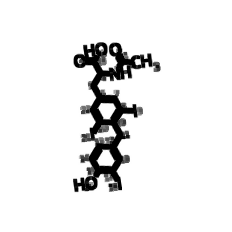 CC(=O)NC(Cc1cc(I)c(Cc2ccc(O)c(I)c2)c(I)c1)C(=O)O